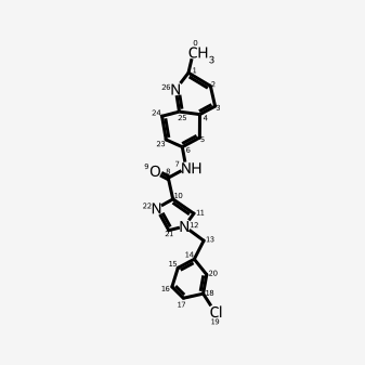 Cc1ccc2cc(NC(=O)c3cn(Cc4cccc(Cl)c4)cn3)ccc2n1